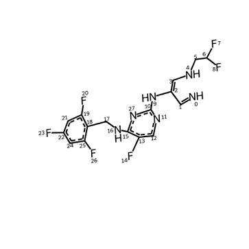 N=C/C(=C\NCC(F)F)Nc1ncc(F)c(NCc2c(F)cc(F)cc2F)n1